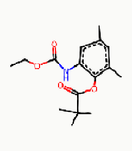 CCOC(=O)Nc1cc(C)cc(C)c1OC(=O)C(C)(C)C